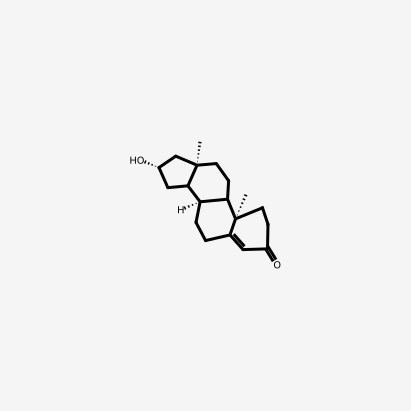 C[C@]12CCC3[C@@H](CCC4=CC(=O)CC[C@@]43C)C1C[C@H](O)C2